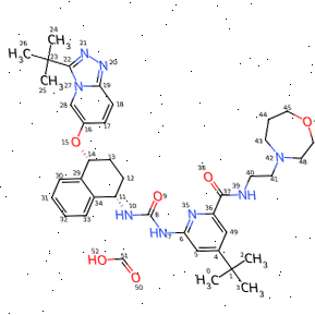 CC(C)(C)c1cc(NC(=O)N[C@H]2CC[C@@H](Oc3ccc4nnc(C(C)(C)C)n4c3)c3ccccc32)nc(C(=O)NCCN2CCCOCC2)c1.O=CO